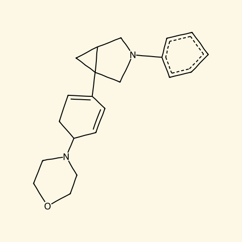 C1=CC(N2CCOCC2)CC=C1C12CC1CN(c1ccccc1)C2